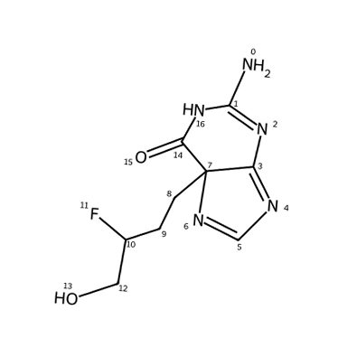 NC1=NC2=NC=NC2(CCC(F)CO)C(=O)N1